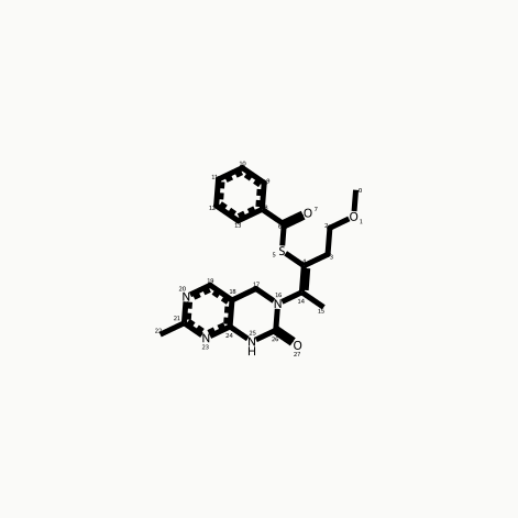 COCC/C(SC(=O)c1ccccc1)=C(\C)N1Cc2cnc(C)nc2NC1=O